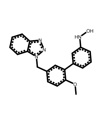 COc1ccc(Cn2nnc3ccccc32)cc1-c1cccc(NO)c1